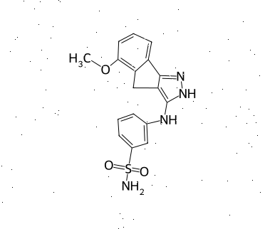 COc1cccc2c1Cc1c-2n[nH]c1Nc1cccc(S(N)(=O)=O)c1